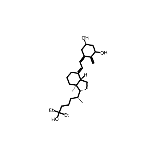 C=C1/C(=C\C=C2/CCC[C@]3(C)[C@@H]([C@H](C)CCCC(O)(CC)CC)CC[C@@H]23)C[C@@H](O)CC1O